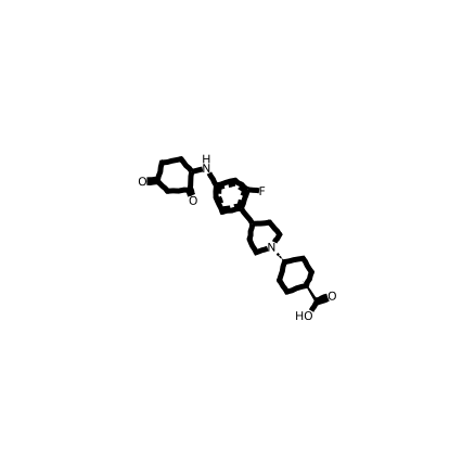 O=C1CCC(Nc2ccc(C3CCN([C@H]4CC[C@H](C(=O)O)CC4)CC3)c(F)c2)C(=O)C1